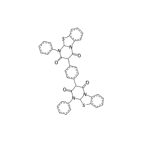 O=C1C(c2ccc(C3C(=O)N(c4ccccc4)C4Sc5ccccc5N4C3=O)cc2)C(=O)N2c3ccccc3SC2N1c1ccccc1